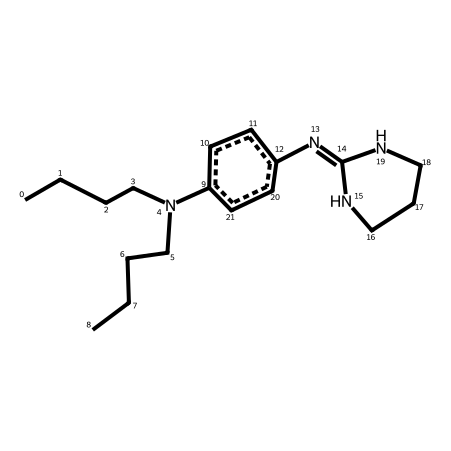 CCCCN(CCCC)c1ccc(N=C2NCCCN2)cc1